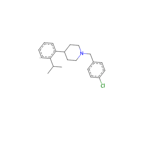 CC(C)c1[c]cccc1C1CCN(Cc2ccc(Cl)cc2)CC1